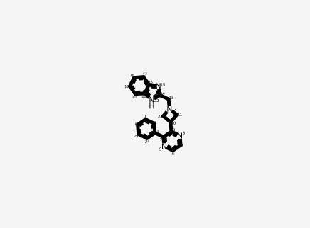 c1ccc(-c2nccnc2C2CN(Cc3nc4ccccc4[nH]3)C2)cc1